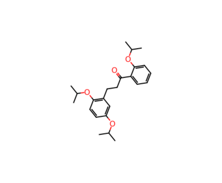 CC(C)Oc1ccc(OC(C)C)c(CCC(=O)c2ccccc2OC(C)C)c1